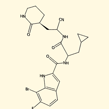 N#CC(C[C@@H]1CCCNC1=O)NC(=O)C(CC1CC1)NC(=O)c1cc2ccc(F)c(Br)c2[nH]1